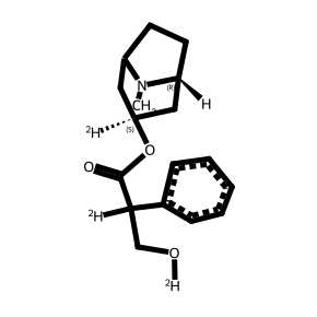 [2H]OCC([2H])(C(=O)O[C@@]1([2H])CC2CC[C@H](C1)N2C)c1ccccc1